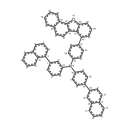 c1cc(-c2cccc3ccccc23)cc(N(c2ccc(-c3ccc4ccccc4c3)cc2)c2ccc(-c3cccc4oc5c6ccccc6ccc5c34)cc2)c1